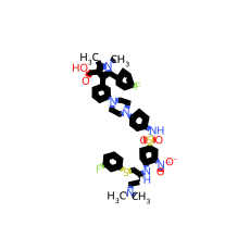 Cc1c(C(=O)O)c(-c2cccc(N3CCN(c4ccc(NS(=O)(=O)c5ccc(N[C@H](CCN(C)C)CSc6cccc(F)c6)c([N+](=O)[O-])c5)cc4)CC3)c2)c(-c2ccc(F)cc2)n1C